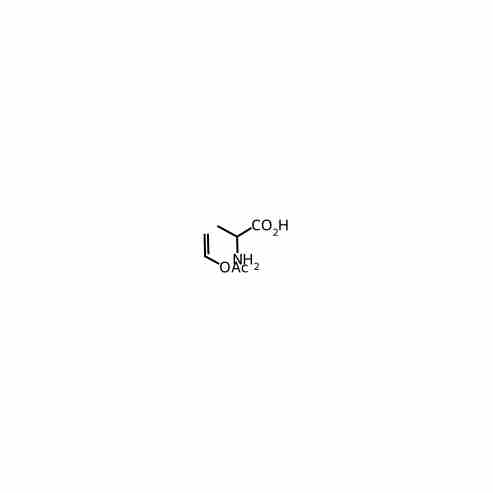 C=COC(C)=O.CC(N)C(=O)O